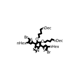 CCCCCCCCCCCCCCOc1c(OCCCCCCCCCCCCCC)c(-c2cc(CCCCCC)c(Br)s2)c2nsnc2c1-c1cc(CCCCCC)c(Br)s1